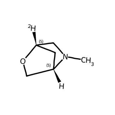 [2H][C@@]12C[C@@H](CO1)N(C)C2